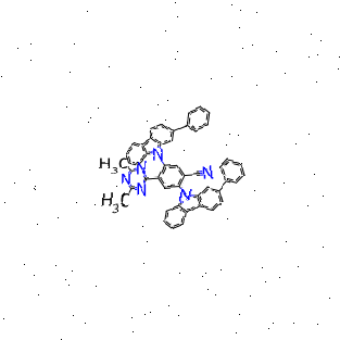 Cc1nc(C)nc(-c2cc(-n3c4ccccc4c4ccc(-c5ccccc5)cc43)c(C#N)cc2-n2c3ccccc3c3ccc(-c4ccccc4)cc32)n1